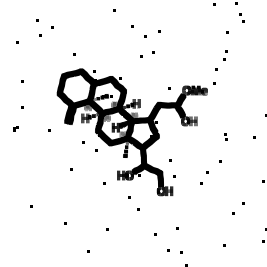 C=C1CCCC2CC[C@@H]3[C@@H](CC[C@]4(C)C(C(O)CO)CC(CC(O)OC)[C@@H]34)[C@@]12C